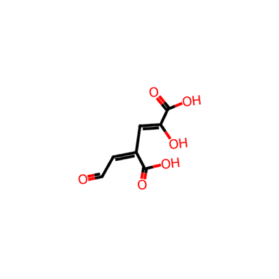 O=CC=C(C=C(O)C(=O)O)C(=O)O